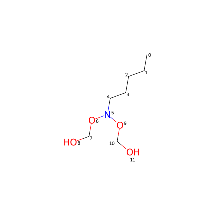 CCCCCN(OCO)OCO